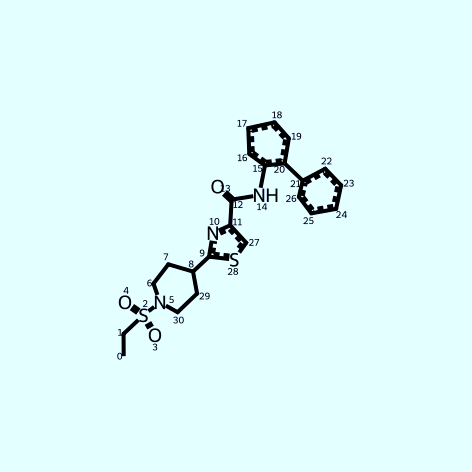 CCS(=O)(=O)N1CCC(c2nc(C(=O)Nc3ccccc3-c3ccccc3)cs2)CC1